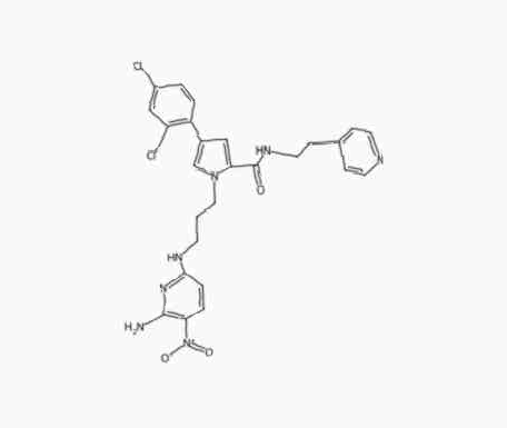 Nc1nc(NCCCn2cc(-c3ccc(Cl)cc3Cl)cc2C(=O)NCCc2ccncc2)ccc1[N+](=O)[O-]